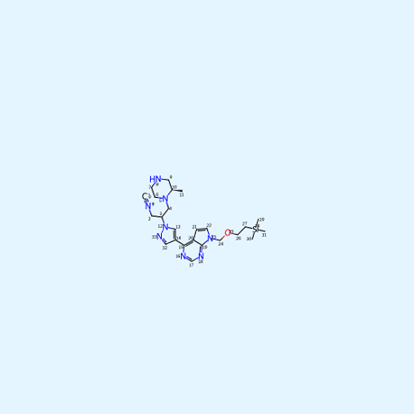 [C-]#[N+]CC(CN1CCNC[C@H]1C)n1cc(-c2ncnc3c2ccn3COCC[Si](C)(C)C)cn1